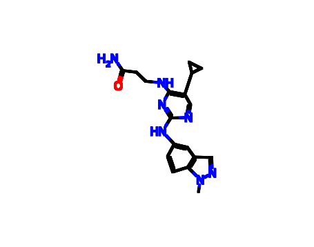 Cn1ncc2cc(Nc3ncc(C4CC4)c(NCCC(N)=O)n3)ccc21